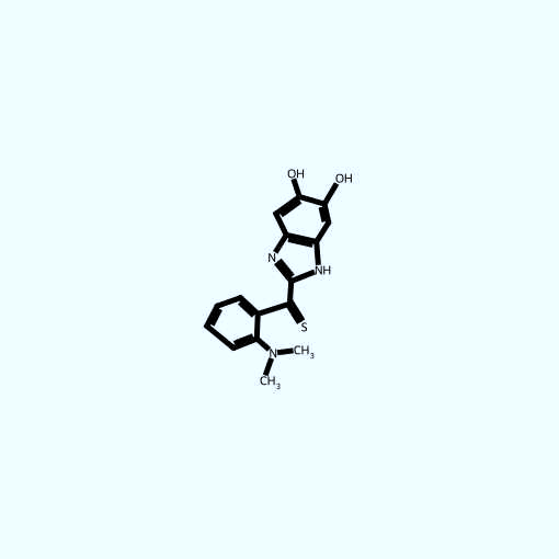 CN(C)c1ccccc1C(=S)c1nc2cc(O)c(O)cc2[nH]1